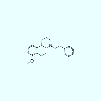 COc1cccc2c1CCC1C2CCCN1CCc1ccccc1